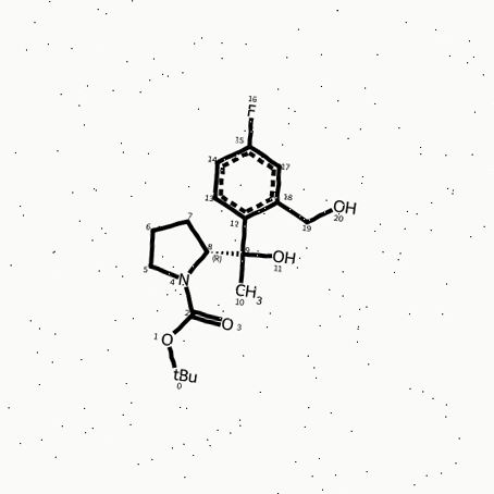 CC(C)(C)OC(=O)N1CCC[C@@H]1C(C)(O)c1ccc(F)cc1CO